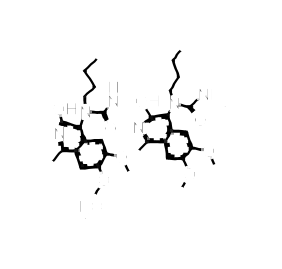 CCCCN(C(N)=O)c1c(O)nc(C)c2cc(OC)c(OC)cc12.CCCCN(C(N)=O)c1c(O)nc(C)c2cc(OC)c(OC)cc12.O